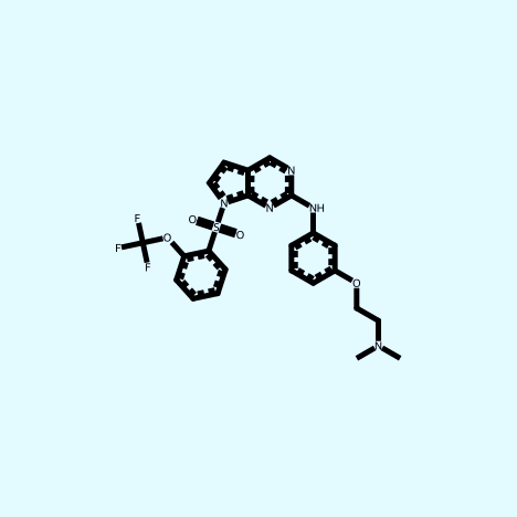 CN(C)CCOc1cccc(Nc2ncc3ccn(S(=O)(=O)c4ccccc4OC(F)(F)F)c3n2)c1